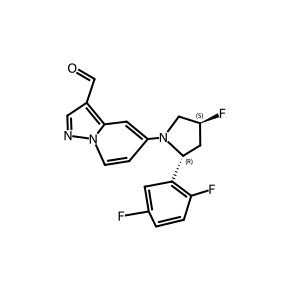 O=Cc1cnn2ccc(N3C[C@@H](F)C[C@@H]3c3cc(F)ccc3F)cc12